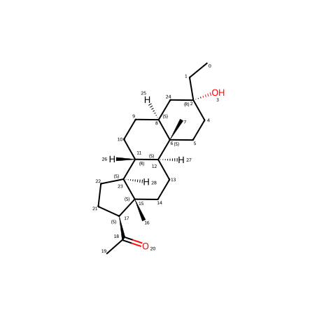 CC[C@@]1(O)CC[C@@]2(C)[C@@H](CC[C@@H]3[C@@H]2CC[C@]2(C)[C@@H](C(C)=O)CC[C@@H]32)C1